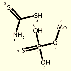 NC(=S)S.OP(O)(=S)[O][Mo]